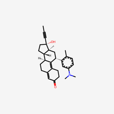 CC#C[C@]1(O)CC[C@H]2[C@@H]3CCC4=CC(=O)CCC4=C3[C@@H](c3cc(N(C)C)ccc3C)C[C@@]21C